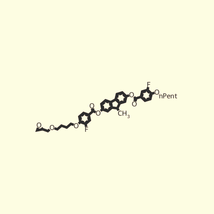 CCCCCOc1ccc(C(=O)Oc2ccc3c(c2)C(C)c2cc(OC(=O)c4ccc(OCCCCOCC5CO5)c(F)c4)ccc2-3)cc1F